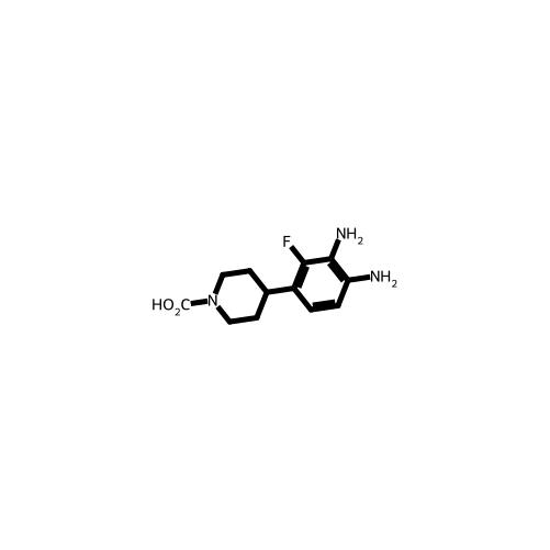 Nc1ccc(C2CCN(C(=O)O)CC2)c(F)c1N